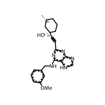 COc1cccc(CNc2nc(C#C[C@]3(O)CCC[C@@H](C)C3)nc3nc[nH]c23)c1